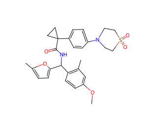 COc1ccc(C(NC(=O)C2(c3ccc(N4CCS(=O)(=O)CC4)cc3)CC2)c2ccc(C)o2)c(C)c1